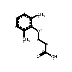 Cc1cccc(C)c1OCCC(=O)O